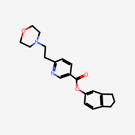 O=C(Oc1ccc2c(c1)CCC2)c1ccc(CCN2CCOCC2)nc1